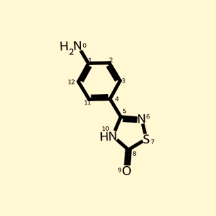 Nc1ccc(-c2nsc(=O)[nH]2)cc1